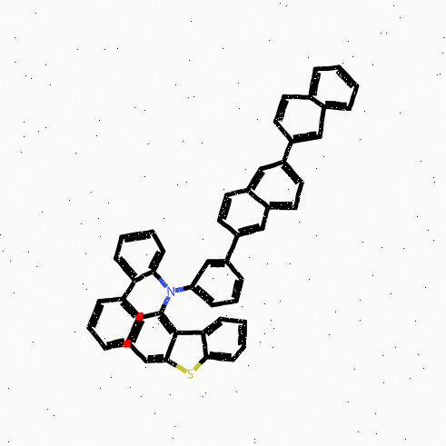 c1ccc(-c2ccccc2N(c2cccc(-c3ccc4cc(-c5ccc6ccccc6c5)ccc4c3)c2)c2cccc3sc4ccccc4c23)cc1